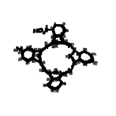 O=S(=O)(O)c1cccc2c3nc4nc(nc5[nH]c(nc6nc(nc([nH]3)c12)-c1ccccc1-6)c1ccccc51)-c1ccccc1-4.[Pd]